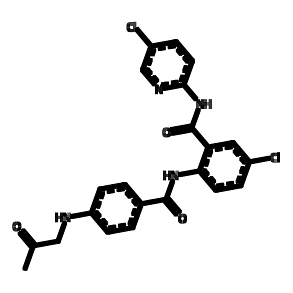 CC(=O)CNc1ccc(C(=O)Nc2ccc(Cl)cc2C(=O)Nc2ccc(Cl)cn2)cc1